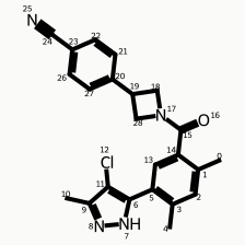 Cc1cc(C)c(-c2[nH]nc(C)c2Cl)cc1C(=O)N1CC(c2ccc(C#N)cc2)C1